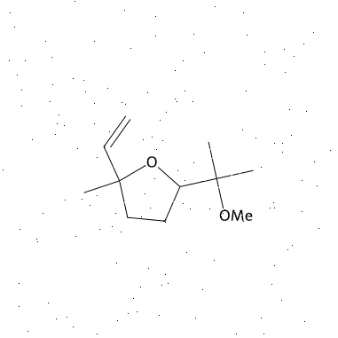 C=CC1(C)CCC(C(C)(C)OC)O1